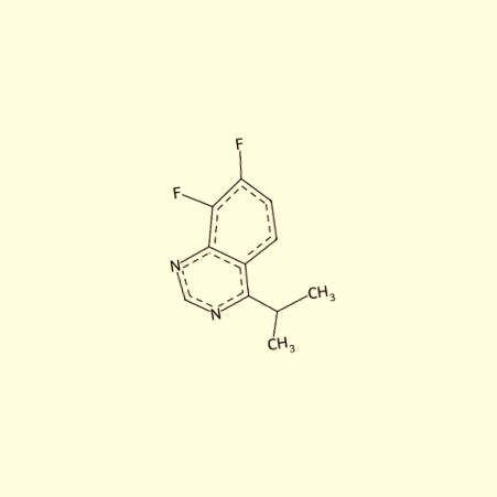 CC(C)c1ncnc2c(F)c(F)ccc12